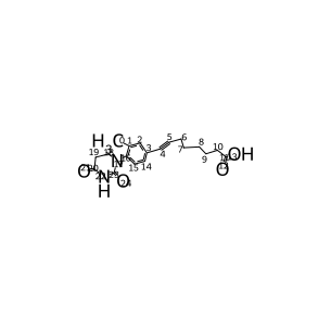 Cc1cc(C#CCCCCCC(=O)O)ccc1N1CCC(=O)NC1=O